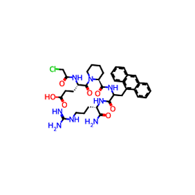 N=C(N)NCCC[C@H](NC(=O)C(Cc1c2ccccc2cc2ccccc12)NC(=O)[C@@H]1CCCCN1C(=O)[C@H](CCC(=O)O)NC(=O)CCl)C(N)=O